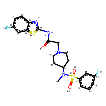 CN(C1CCN(CC(=O)Nc2nc3ccc(F)cc3s2)CC1)S(=O)(=O)c1cccc(F)c1